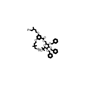 CC(C)CC(C)CCOc1cc(OCCC(C)(C)CC(C)(C)C)cc(C(=O)OCC2OC(C(C)(C)O)C(OCc3ccccc3)C(OCc3ccccc3)C2OCc2ccccc2)c1